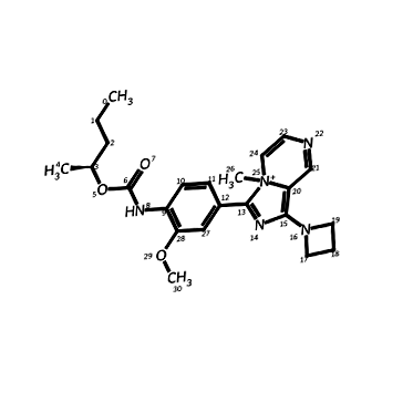 CCC[C@H](C)OC(=O)Nc1ccc(C2=NC(N3CCC3)=C3C=NC=C[N+]23C)cc1OC